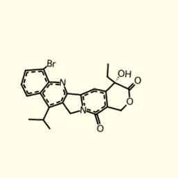 CC[C@@]1(O)C(=O)OCc2c1cc1n(c2=O)Cc2c-1nc1c(Br)cccc1c2C(C)C